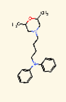 CC1CN(CCCCN(c2ccccc2)c2ccccc2)CC(C)O1